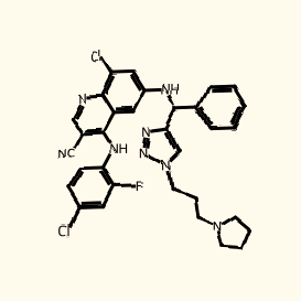 N#Cc1cnc2c(Cl)cc(N[C@@H](c3ccccc3)c3cn(CCCN4CCCC4)nn3)cc2c1Nc1ccc(Cl)cc1F